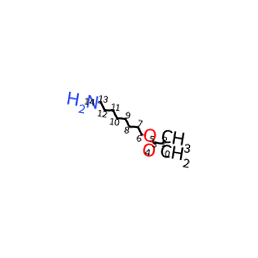 C=C(C)C(=O)OCCCCCCCCN